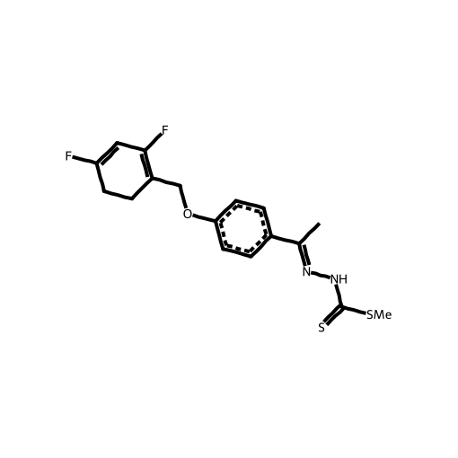 CSC(=S)N/N=C(\C)c1ccc(OCC2=C(F)C=C(F)CC2)cc1